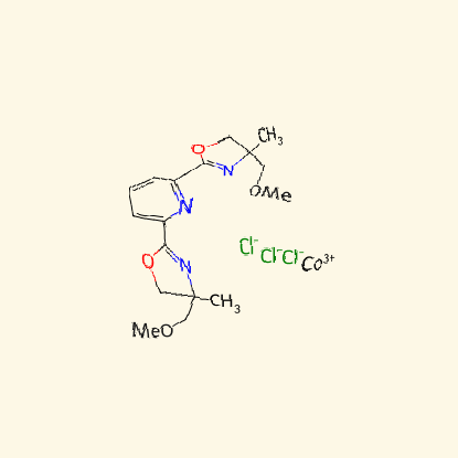 COCC1(C)COC(c2cccc(C3=NC(C)(COC)CO3)n2)=N1.[Cl-].[Cl-].[Cl-].[Co+3]